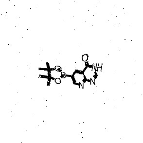 CC1(C)OB(c2cnc3nc[nH]c(=O)c3c2)OC1(C)C